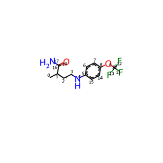 CC([CH]CNc1ccc(OC(F)(F)F)cc1)C(N)=O